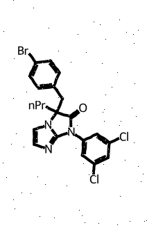 CCCC1(Cc2ccc(Br)cc2)C(=O)N(c2cc(Cl)cc(Cl)c2)c2nccn21